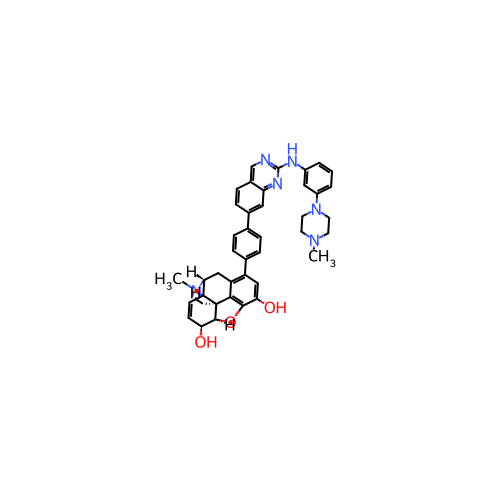 CN1CCN(c2cccc(Nc3ncc4ccc(-c5ccc(-c6cc(O)c7c8c6C[C@@H]6[C@@H]9C=C[C@H](O)[C@H](O7)[C@]89CCN6C)cc5)cc4n3)c2)CC1